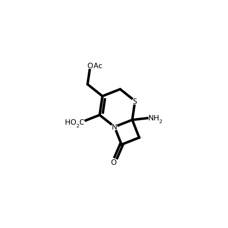 CC(=O)OCC1=C(C(=O)O)N2C(=O)CC2(N)SC1